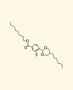 CCCCCCCCOC(=O)c1ccc(C2OCC(CCCCCC)CO2)c(F)c1